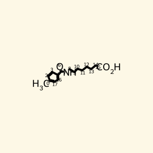 Cc1ccc(C(=O)NCCCCCCCC(=O)O)cc1